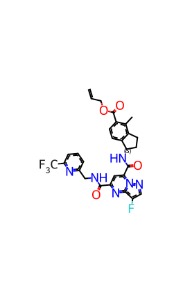 C=CCOC(=O)c1ccc2c(c1C)CC[C@@H]2NC(=O)c1cc(C(=O)NCc2cccc(C(F)(F)F)n2)nc2c(F)cnn12